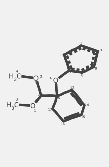 COC(OC)C1(Oc2ccccc2)C=CC=CC1